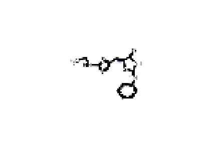 O=C1N/C(=N/c2ccccc2)S/C1=C\c1cnc(NCC(F)(F)F)s1